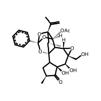 C=C(C)[C@@]12O[C@@]3(c4ccccc4)O[C@@H]1C1[C@@H]4O[C@]4(CO)[C@@H](O)[C@]4(O)C(=O)[C@@H](C)CC4[C@@]1(O3)[C@H](C)[C@H]2OC(C)=O